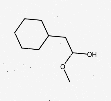 COC(O)CC1CCCCC1